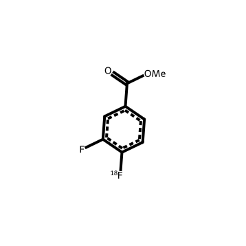 COC(=O)c1ccc([18F])c(F)c1